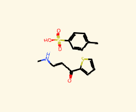 CNCCC(=O)c1cccs1.Cc1ccc(S(=O)(=O)O)cc1